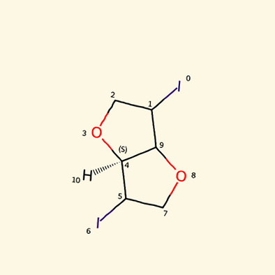 IC1CO[C@@H]2C(I)COC12